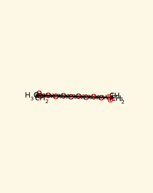 C=C(C)C(=O)OCCCCOCCCCOCCCCOCCCCOCCCCOCCCCOCCCCOCCCCOCCCCOC(=O)C(=C)C